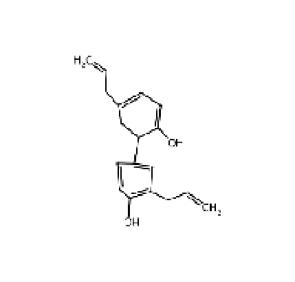 C=CCC1=CC=C(O)C(c2ccc(O)c(CC=C)c2)C1